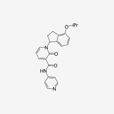 CC(C)Oc1cccc2c1CCC2n1cccc(C(=O)Nc2ccncc2)c1=O